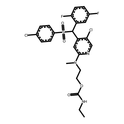 CCNC(=O)OCCN(C)c1cc(C(c2cc(F)ccc2F)S(=O)(=O)c2ccc(Cl)cc2)c(Cl)cn1